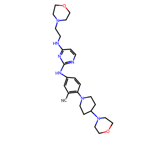 N#Cc1cc(Nc2nccc(NCCN3CCOCC3)n2)ccc1N1CCC(N2CCOCC2)CC1